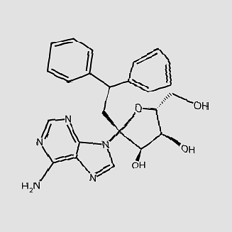 Nc1ncnc2c1ncn2[C@]1(CC(c2ccccc2)c2ccccc2)O[C@H](CO)[C@@H](O)[C@H]1O